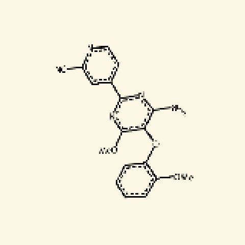 COc1ccccc1Oc1c(N)nc(-c2ccnc(C#N)c2)nc1OC